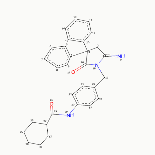 N=C1CC(c2ccccc2)(c2ccccc2)C(=O)N1Cc1ccc(NC(=O)C2CCCCC2)cc1